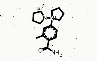 Cc1cc([N+]2(N3CCC[C@@H]3C)CCCC2)ccc1C(N)=O